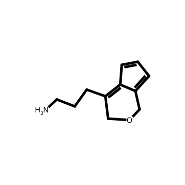 NCCCC1=C2C=CC=C2COC1